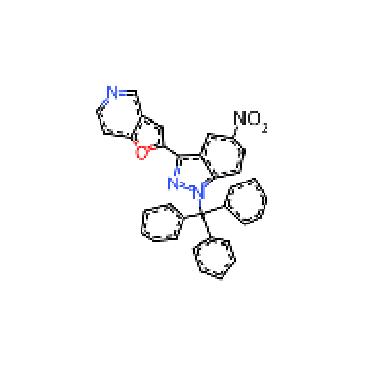 O=[N+]([O-])c1ccc2c(c1)c(-c1cc3cnccc3o1)nn2C(c1ccccc1)(c1ccccc1)c1ccccc1